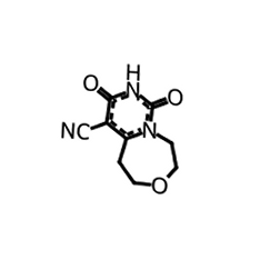 N#Cc1c2n(c(=O)[nH]c1=O)CCOCC2